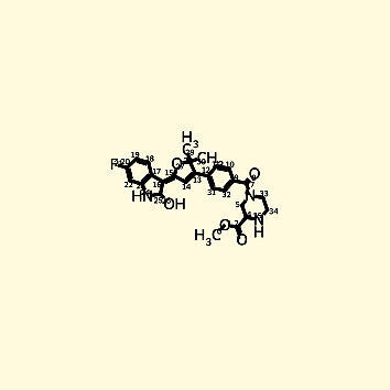 COC(=O)C1CN(C(=O)c2ccc(C3=C/C(=C4/c5ccc(F)cc5NC4O)OC3(C)C)cc2)CCN1